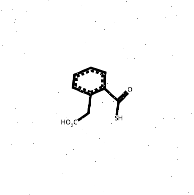 O=C(O)Cc1ccccc1C(=O)S